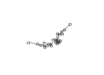 O=C(NCCCC[C@H](NC(=O)c1ccc(C(=O)NCCOCCOCCCCCCCl)cc1)C(=O)ON1C(=O)CCC1=O)c1ccc(C(=O)NCCOCCOCCCCCCCl)cc1